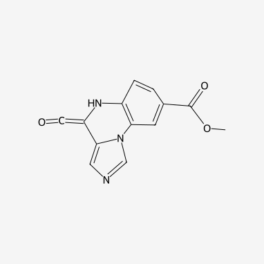 COC(=O)c1ccc2c(c1)-n1cncc1C(=C=O)N2